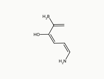 BC(=C)/C(O)=C\C=C/N